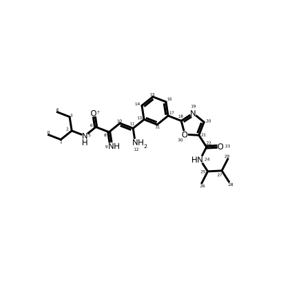 CCC(CC)NC(=O)C(=N)/C=C(\N)c1cccc(-c2ncc(C(=O)NC(C)C(C)C)o2)c1